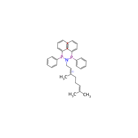 CC(C)=CCC/C(C)=C/CN(P(c1ccccc1)c1ccccc1)P(c1ccccc1)c1ccccc1